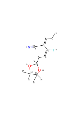 CC/C=C(C#N)\C(F)=C/CB1OC(C)(C)C(C)(C)O1